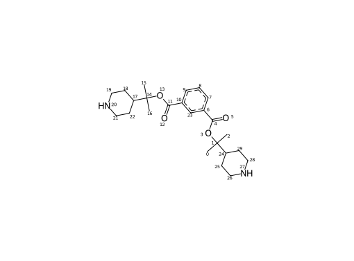 CC(C)(OC(=O)c1cccc(C(=O)OC(C)(C)C2CCNCC2)c1)C1CCNCC1